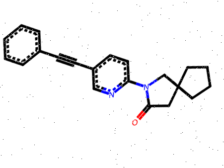 O=C1CC2(CCCC2)CN1c1ccc(C#Cc2ccccc2)cn1